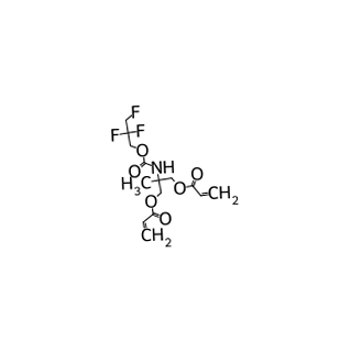 C=CC(=O)OCC(C)(COC(=O)C=C)NC(=O)OCC(F)(F)CF